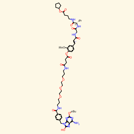 CCCCOc1nc(N)c2nc(O)n(Cc3ccc(C(=O)NCCCOCCOCCOCCCNC(=O)CCC(=O)Oc4ccc(/C=C/C(=O)NCC(=O)N[C@H](C(=O)NCCCC(=O)OC5CCCC5)C(C)C)cc4OC)cc3)c2n1